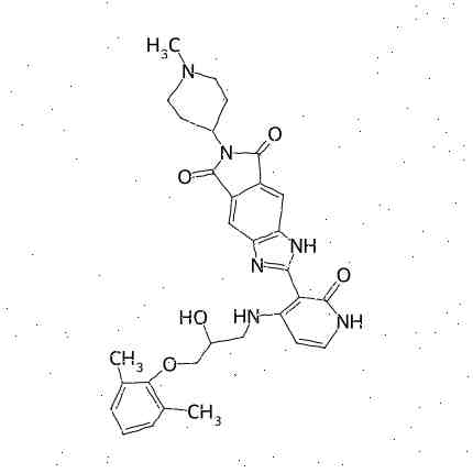 Cc1cccc(C)c1OCC(O)CNc1cc[nH]c(=O)c1-c1nc2cc3c(cc2[nH]1)C(=O)N(C1CCN(C)CC1)C3=O